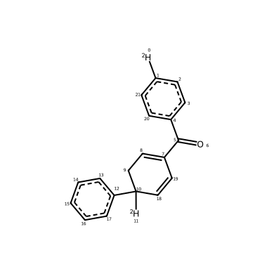 [2H]c1ccc(C(=O)C2=CCC([2H])(c3ccccc3)C=C2)cc1